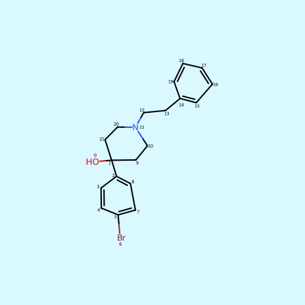 OC1(c2ccc(Br)cc2)CCN(CCc2ccccc2)CC1